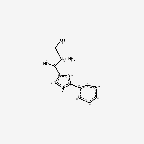 CC[C@H](N)C(O)c1nnc(-c2cccnc2)o1